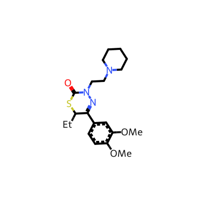 CCC1SC(=O)N(CCN2CCCCC2)N=C1c1ccc(OC)c(OC)c1